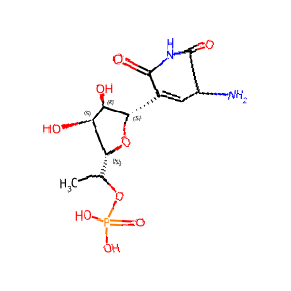 CC(OP(=O)(O)O)[C@H]1O[C@@H](C2=CC(N)C(=O)NC2=O)[C@H](O)[C@@H]1O